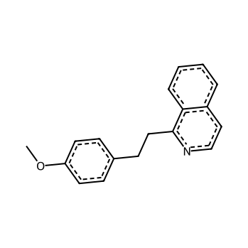 COc1ccc(CCc2nccc3ccccc23)cc1